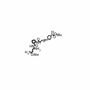 CO/C(N)=C/C=C(\N)NC(=O)c1ccccc1NC(=O)CCOCCN1CCC(NC(=O)OC(C)(C)C)CC1